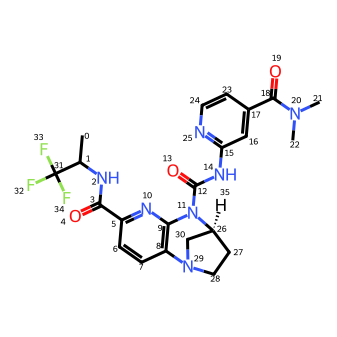 CC(NC(=O)c1ccc2c(n1)N(C(=O)Nc1cc(C(=O)N(C)C)ccn1)[C@H]1CCN2C1)C(F)(F)F